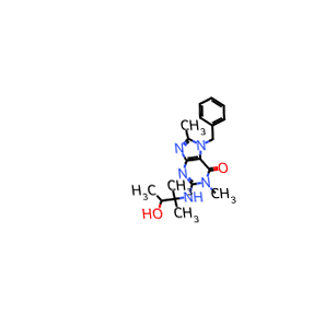 Cc1nc2nc(NC(C)(C)C(C)O)n(C)c(=O)c2n1Cc1ccccc1